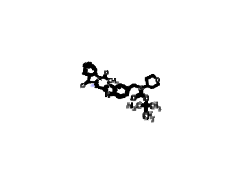 CC(=O)N1/C(=C\c2nc3ccc(CN(C(=O)OC(C)(C)C)C4CCOCC4)cc3s2)C(=O)c2ccccc21